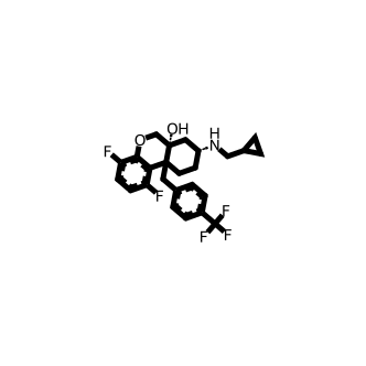 O[C@@]12COc3c(F)ccc(F)c3C1(Cc1ccc(C(F)(F)F)cc1)CC[C@@H](NCC1CC1)C2